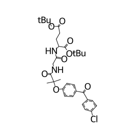 CC(C)(C)OC(=O)CCC(NC(=O)CNC(=O)C(C)(C)Oc1ccc(C(=O)c2ccc(Cl)cc2)cc1)C(=O)OC(C)(C)C